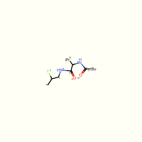 CC(F)CNC(=O)C(NC(=O)C(C)(C)C)C(C)C